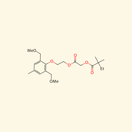 CCC(C)(C)C(=O)OCC(=O)OCCOc1c(COC)cc(C)cc1COC